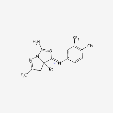 CCC12CC(C(F)(F)F)=NN1C(N)=N/C2=N\c1ccc(C#N)c(C(F)(F)F)c1